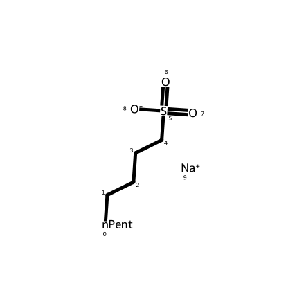 CCCCCCCCCS(=O)(=O)[O-].[Na+]